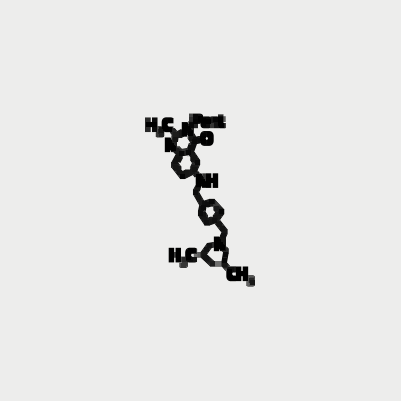 CCCC(C)n1c(C)nc2ccc(NCc3ccc(CN4CC(C)CC(C)C4)cc3)cc2c1=O